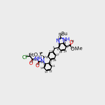 CCCCc1nc2c(Cc3ccc(-c4ccccc4N(CC(=O)OCC)C(=O)NC(=O)CCl)cc3)ccc(C(=O)OC)c2[nH]1